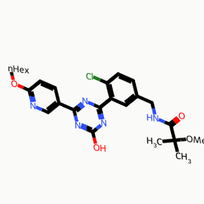 CCCCCCOc1ccc(-c2nc(O)nc(-c3cc(CNC(=O)C(C)(C)OC)ccc3Cl)n2)cn1